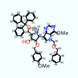 COc1ccc(CO[C@@H]2[C@H](O)[C@@H](COC(c3ccccc3)(c3ccccc3)c3ccccc3)N(C(C)(C)C)[C@H]2c2cn(COCc3ccccc3)c3c(OC)ncnc23)cc1